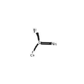 N=S(F)F.[Cs]